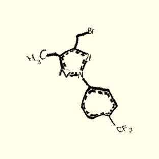 Cc1nn(-c2ccc(C(F)(F)F)cc2)nc1CBr